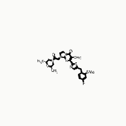 CSc1cc(F)ccc1Cc1cnc(-c2nc3n(CC(=O)N4C[C@@H](C)O[C@H](C)C4)ccn3c(=O)c2OC(C)=O)s1